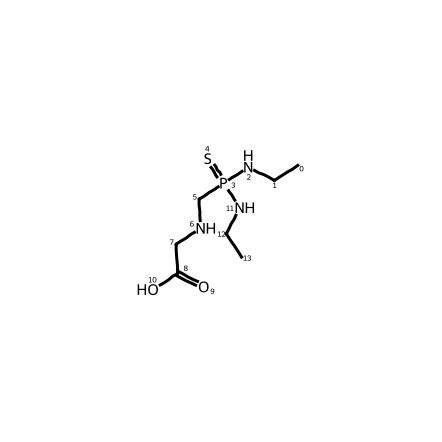 CCNP(=S)(CNCC(=O)O)NCC